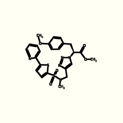 COC(=O)[C@H](Cc1ccc(OC)cc1)n1cc(CN(C)S(=O)(=O)c2ccc(-c3ccccn3)s2)nn1